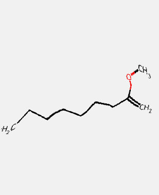 [CH2]CCCCCCC(=C)OC